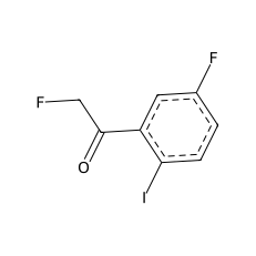 O=C(CF)c1cc(F)ccc1I